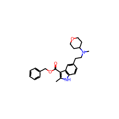 Cc1[nH]c2ccc(CCN(C)C3CCOCC3)cc2c1C(=O)OCc1ccccc1